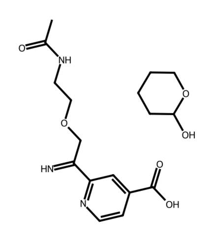 CC(=O)NCCOCC(=N)c1cc(C(=O)O)ccn1.OC1CCCCO1